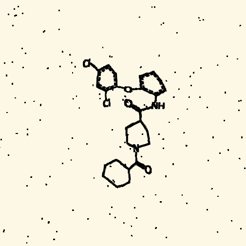 O=C(Nc1ccccc1Oc1ccc(Cl)cc1Cl)C1CCN(C(=O)C2CCCCC2)CC1